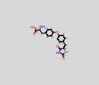 N[C@@H](Cc1ccc(Oc2ccc(C=C3SC(=O)NC3=O)cc2)cc1)C(=O)O